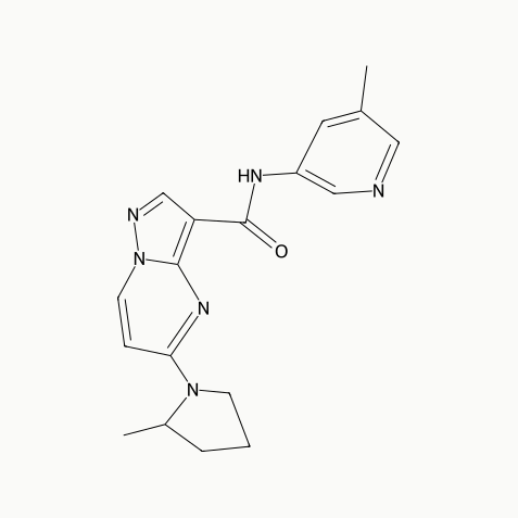 Cc1cncc(NC(=O)c2cnn3ccc(N4CCCC4C)nc23)c1